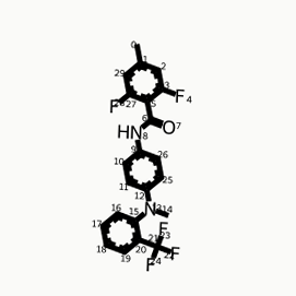 Cc1cc(F)c(C(=O)Nc2ccc(N(C)c3ccccc3C(F)(F)F)cc2)c(F)c1